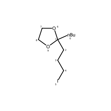 CCCCC1(CCCI)OCCO1